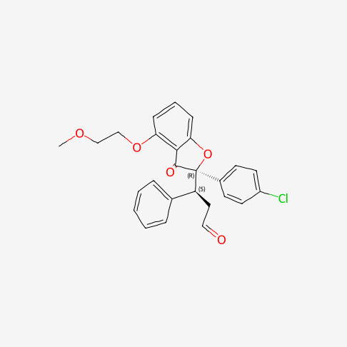 COCCOc1cccc2c1C(=O)[C@](c1ccc(Cl)cc1)([C@@H](CC=O)c1ccccc1)O2